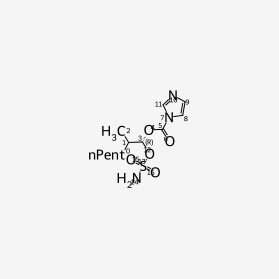 CCCCCC(C)[C@H](OC(=O)n1ccnc1)OS(N)(=O)=O